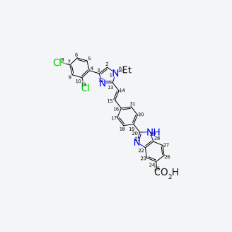 CCn1cc(-c2ccc(Cl)cc2Cl)nc1C=Cc1ccc(-c2nc3cc(C(=O)O)ccc3[nH]2)cc1